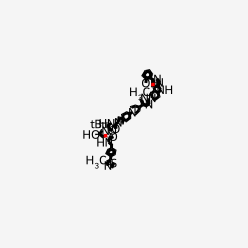 Cc1ncsc1-c1ccc(CNC(=O)[C@@H]2C[C@@H](O)CN2C(=O)[C@@H](NC(=O)N2CC3(CCC(N4CCC(c5cnc(N6CCC7Nc8nnc(-c9ccccc9O)cc8C7C6C)nc5)CC4)CC3)C2)C(C)(C)C)cc1